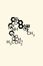 CCCS(=O)(=O)Nc1cccc2c(Oc3ncccc3-c3ccnc(N[C@H]4CCCN(C(=O)OC(C)(C)C)C4)n3)c(Cl)ccc12